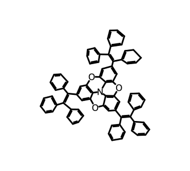 C1=CC(C(=C(c2ccccc2)c2ccccc2)c2cc3c4c(c2)Oc2cc(C(=C(c5ccccc5)c5ccccc5)c5ccccc5)cc5c2N4c2c(cc(C(=C(c4ccccc4)c4ccccc4)c4ccccc4)cc2O5)O3)=CCC1